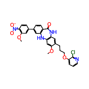 COc1cc2c(cc1CCCOc1cccnc1Cl)NC(=O)c1ccc(-c3ccc([N+](=O)[O-])c(OC)c3)cc1N2